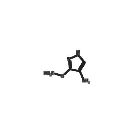 Nc1c[nH]nc1OC(=O)O